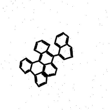 c1ccc(-c2ccccc2-c2c3ccccc3c(-c3cccc4ccccc34)c3ccccc23)cc1